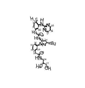 Cc1ccc(NC(=O)Nc2cc(C(C)(C)C)nn2-c2cccc(CC(=O)NCC(O)CO)c2)cc1Nc1ncccn1